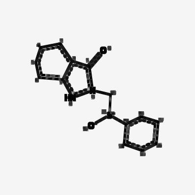 O=c1c2ccccc2[nH]n1C[S+]([O-])c1ccccc1